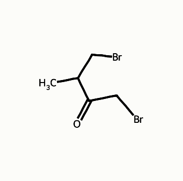 CC(CBr)C(=O)CBr